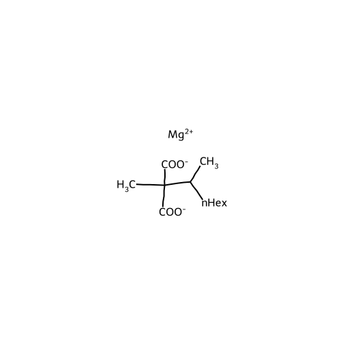 CCCCCCC(C)C(C)(C(=O)[O-])C(=O)[O-].[Mg+2]